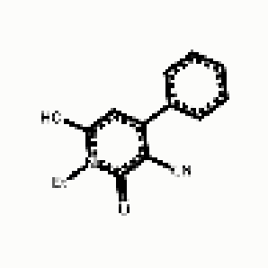 CCn1c(O)cc(-c2ccccc2)c(C#N)c1=O